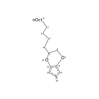 CCCCCCCCCCCCC1COc2cscc2O1